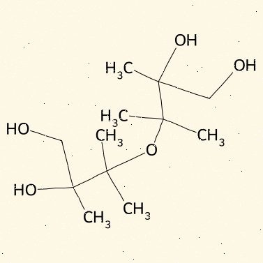 CC(O)(CO)C(C)(C)OC(C)(C)C(C)(O)CO